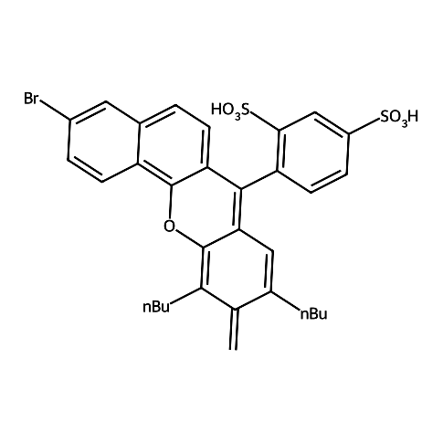 C=c1c(CCCC)cc2c(c1CCCC)Oc1c(ccc3cc(Br)ccc13)C=2c1ccc(S(=O)(=O)O)cc1S(=O)(=O)O